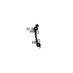 CC(C)(C)c1ccc(NC(=O)CCCCCC(=O)Nc2ccc(F)cc2)c(N)c1